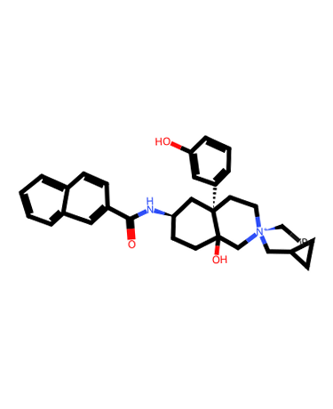 CC(C)C[N@+]1(CC2CC2)CC[C@]2(c3cccc(O)c3)C[C@H](NC(=O)c3ccc4ccccc4c3)CCC2(O)C1